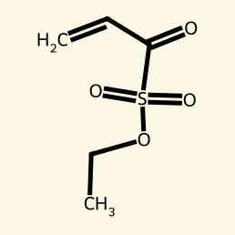 C=CC(=O)S(=O)(=O)OCC